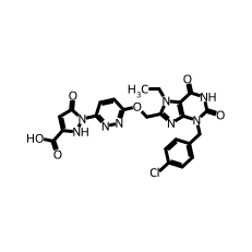 CCn1c(COc2ccc(-n3[nH]c(C(=O)O)cc3=O)nn2)nc2c1c(=O)[nH]c(=O)n2Cc1ccc(Cl)cc1